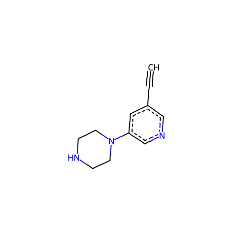 C#Cc1cncc(N2CCNCC2)c1